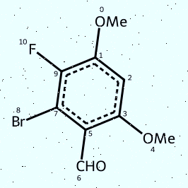 COc1cc(OC)c(C=O)c(Br)c1F